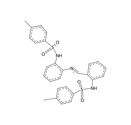 Cc1ccc(S(=O)(=O)Nc2ccccc2/C=N/c2ccccc2NS(=O)(=O)c2ccc(C)cc2)cc1